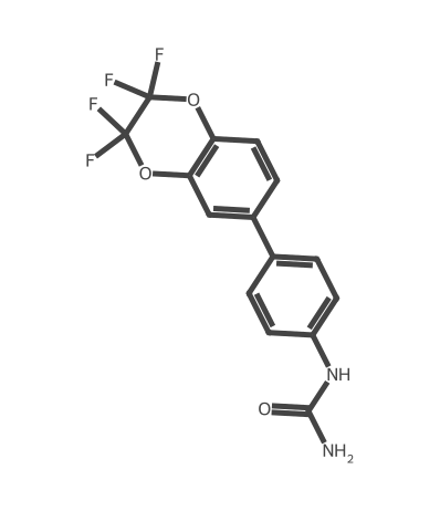 NC(=O)Nc1ccc(-c2ccc3c(c2)OC(F)(F)C(F)(F)O3)cc1